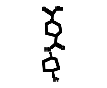 CC(C)[C@H]1CC[C@H](NC(=O)C2CCN(C(=O)C(C)(C)C)CC2)CC1